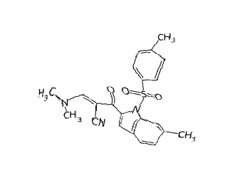 Cc1ccc(S(=O)(=O)n2c(C(=O)C(C#N)=CN(C)C)cc3ccc(C)cc32)cc1